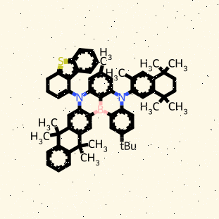 Cc1cc2c3c(c1)N(c1cc4c(cc1C)C(C)(C)CCC4(C)C)c1ccc(C(C)(C)C)cc1B3c1cc3c(cc1N2C1=CCCc2sc4ccccc4c21)C(C)(C)c1ccccc1C3(C)C